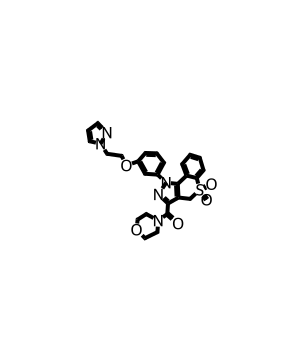 O=C(c1nn(-c2cccc(OCCn3cccn3)c2)c2c1CS(=O)(=O)c1ccccc1-2)N1CCOCC1